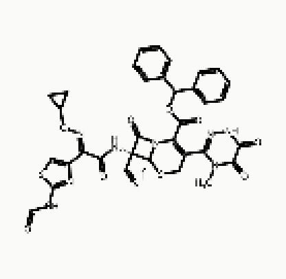 Cn1c(C2=C(C(=O)OC(c3ccccc3)c3ccccc3)N3C(=O)[C@@](C=S)(NC(=O)C(=NOC4CC4)c4csc(NC=O)n4)[C@@H]3SC2)n[nH]c(=O)c1=O